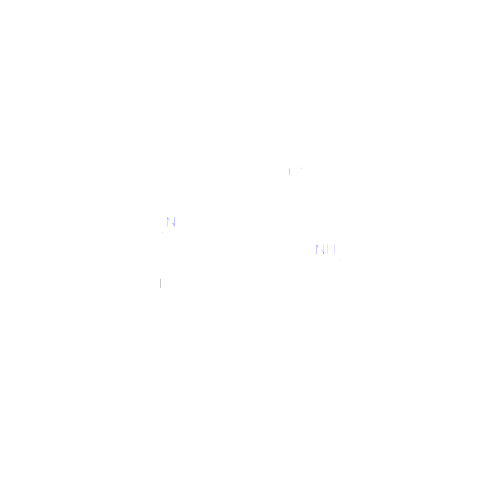 CC(C)CCCC(C)N.NC1CCCCC1